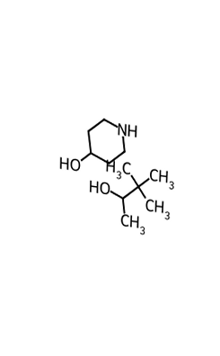 CC(O)C(C)(C)C.OC1CCNCC1